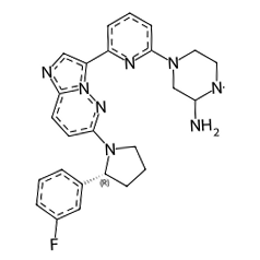 NC1CN(c2cccc(-c3cnc4ccc(N5CCC[C@@H]5c5cccc(F)c5)nn34)n2)CC[N]1